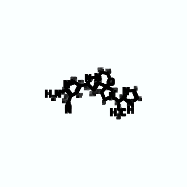 CCC(c1ncc[nH]1)N1CCC2(C1)OCCn1nc(-c3cnc(N)c(C#N)c3)cc12